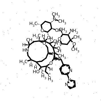 CC[C@H]1OC(=O)[C@H](C)[C@@H](O[C@H]2C[C@@](C)(OC)[C@H](N)[C@H](C)O2)[C@H](C)[C@@H](O[C@@H]2O[C@H](C)C[C@H](N(C)C)[C@H]2O)[C@@]2(C)C[C@@H](C)NC[C@H](C)[C@@H](CC/C(=N\OCc3ccc(-n4cccn4)nc3)CO2)[C@]1(C)O